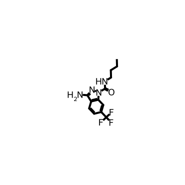 CCCCNC(=O)n1nc(N)c2ccc(C(F)(F)F)cc21